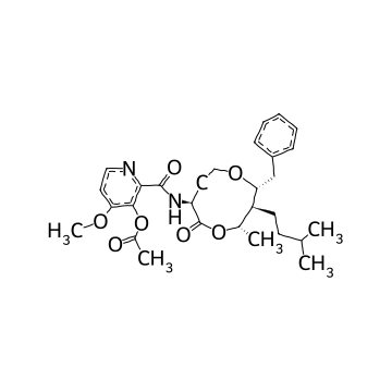 COc1ccnc(C(=O)N[C@H]2CCO[C@H](Cc3ccccc3)[C@@H](CCC(C)C)[C@H](C)OC2=O)c1OC(C)=O